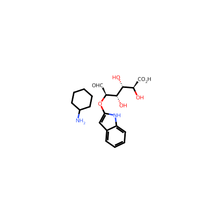 NC1CCCCC1.O=C[C@H](Oc1cc2ccccc2[nH]1)[C@@H](O)[C@H](O)[C@H](O)C(=O)O